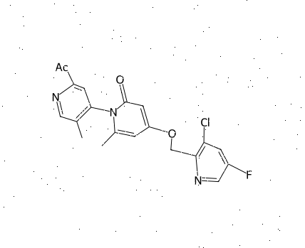 CC(=O)c1cc(-n2c(C)cc(OCc3ncc(F)cc3Cl)cc2=O)c(C)cn1